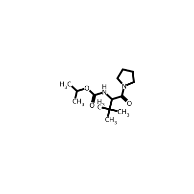 CC(C)OC(=O)NC(C(=O)N1CCCC1)C(C)(C)C